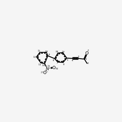 CC(=O)C#Cc1ccc(-c2ccccc2[N+](=O)[O-])cc1